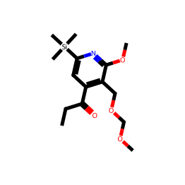 CCC(=O)c1cc([Si](C)(C)C)nc(OC)c1COCOC